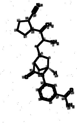 C=C(C(N)CN1C[C@@H]2CC1C(=O)N2c1cccc(C(N)=O)c1)N1CCCC1C#N